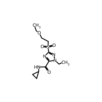 CCOCCS(=O)(=O)c1nc(C(=O)NC2CC2)n(CC)n1